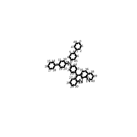 c1ccc(-c2ccc(N(c3ccc(-c4ccccc4)cc3)c3ccc(-c4c5ccccc5nc5c4ccc4cccnc45)cc3)cc2)cc1